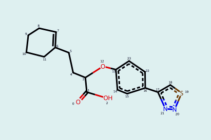 O=C(O)C(CCC1=CCCCC1)Oc1ccc(-c2csnn2)cc1